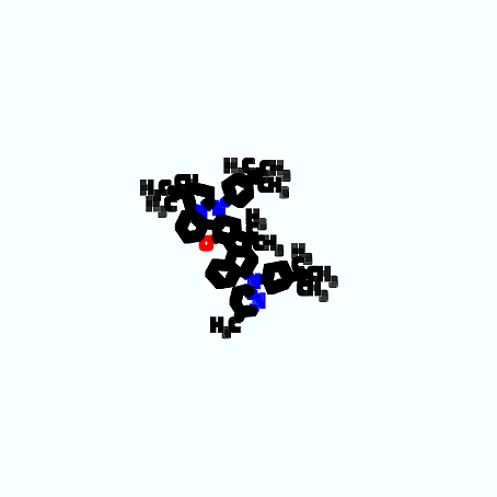 Cc1ccc(N(c2ccc(C(C)(C)C)cc2)c2cc3c(c4ccccc24)-c2c(cc(N(c4ccc(C(C)(C)C)cc4)c4ccc(C(C)(C)C)cn4)c4c2oc2ccccc24)C3(C)C)nc1